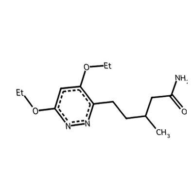 CCOc1cc(OCC)c(CCC(C)CC(N)=O)nn1